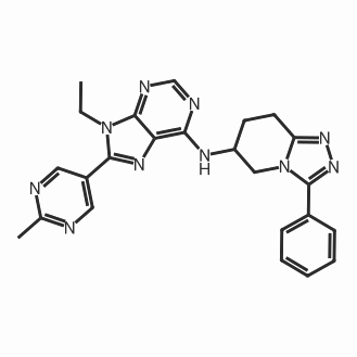 CCn1c(-c2cnc(C)nc2)nc2c(NC3CCc4nnc(-c5ccccc5)n4C3)ncnc21